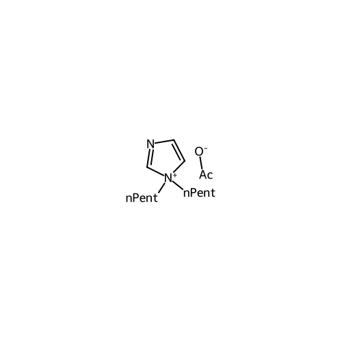 CC(=O)[O-].CCCCC[N+]1(CCCCC)C=CN=C1